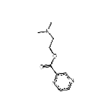 CN(C)CCOC(=O)c1cnccn1